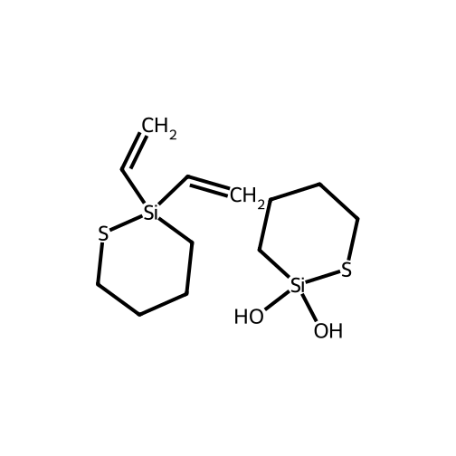 C=C[Si]1(C=C)CCCCS1.O[Si]1(O)CCCCS1